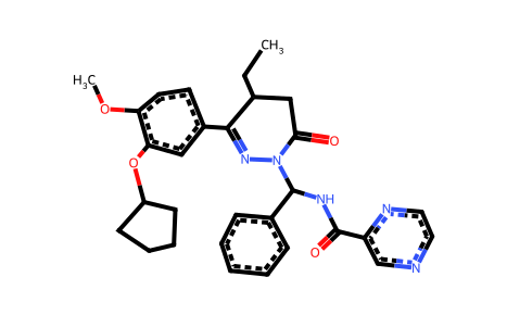 CCC1CC(=O)N(C(NC(=O)c2cnccn2)c2ccccc2)N=C1c1ccc(OC)c(OC2CCCC2)c1